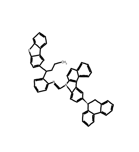 CCCC(c1ccc2sc3ccccc3c2c1)c1ccccc1/N=C/n1c2ccc([C@H]3Cc4ccccc4-c4ccccc43)cc2c2c3ccccc3ccc21